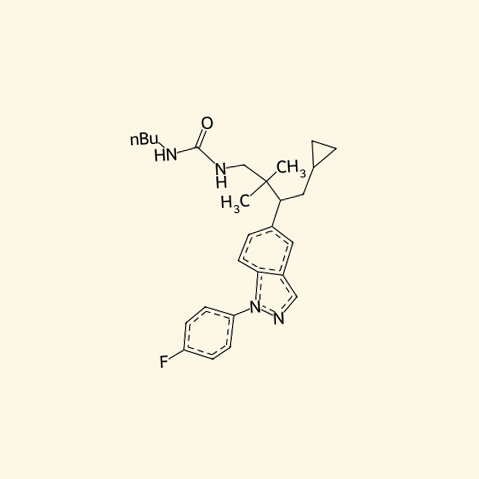 CCCCNC(=O)NCC(C)(C)C(CC1CC1)c1ccc2c(cnn2-c2ccc(F)cc2)c1